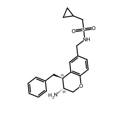 N[C@H]1COc2ccc(CNS(=O)(=O)CC3CC3)cc2[C@@H]1Cc1ccccc1